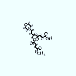 COC(=O)C=CC(=O)OCC(CCN1CCOCC1)OC(=O)C=CC(=O)O